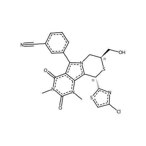 Cn1c(=O)c2c(-c3cccc(C#N)c3)n3c(c2n(C)c1=O)[C@@H](c1nc(Cl)cs1)S[C@H](CO)C3